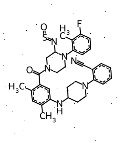 Cc1cc(C)c(C(=O)N2CCN(c3cccc(F)c3C)C(N=S=O)C2)cc1NC1CCN(c2ccccc2C#N)CC1